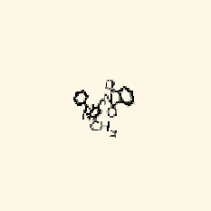 Cc1cc(CN2C(=O)c3ccccc3C2=O)n(-c2ccccc2)n1